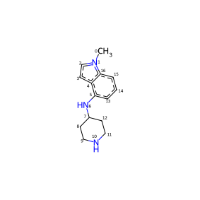 Cn1ccc2c(NC3CCNCC3)cccc21